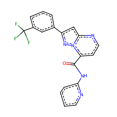 O=C(Nc1ccccn1)c1ccnc2cc(-c3cccc(C(F)(F)F)c3)nn12